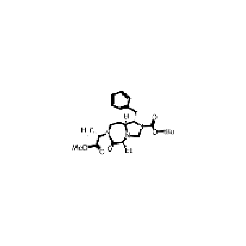 CC[C@H]1C(=O)N([C@@H](C)C(=O)OC)CC[C@H]2[C@H](Cc3ccccc3)N(C(=O)OC(C)(C)C)CN12